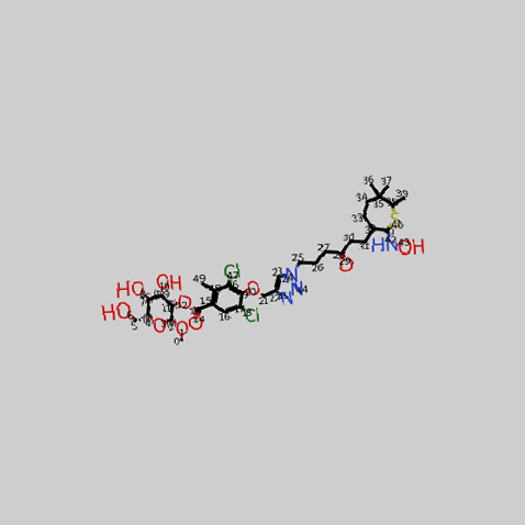 CO[C@H]1O[C@H](CO)[C@@H](O)[C@H](O)[C@H]1OC(=O)c1cc(Cl)c(OCc2cn(CCCC(=O)CCC3CCC(C)(C)C(C)SC3NO)nn2)c(Cl)c1C